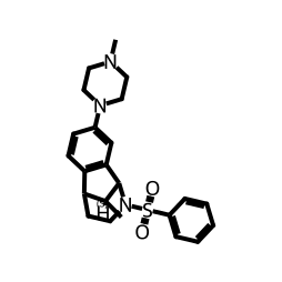 C[C@H]1C2CCN(S(=O)(=O)c3ccccc3)C1c1cc(N3CCN(C)CC3)ccc12